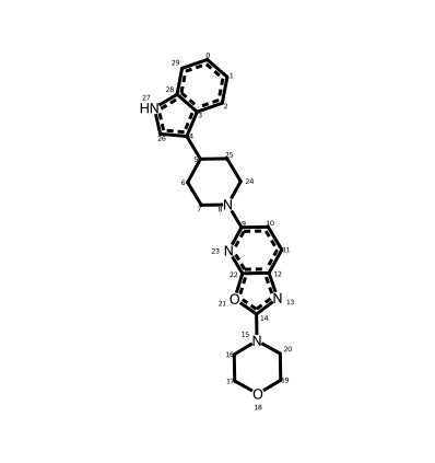 c1ccc2c(C3CCN(c4ccc5nc(N6CCOCC6)oc5n4)CC3)c[nH]c2c1